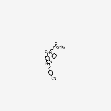 Cn1c(CCc2ccc(C#N)cc2)nc2cc(C(=O)N(CCCC(=O)OC(C)(C)C)c3ccccc3)ccc21